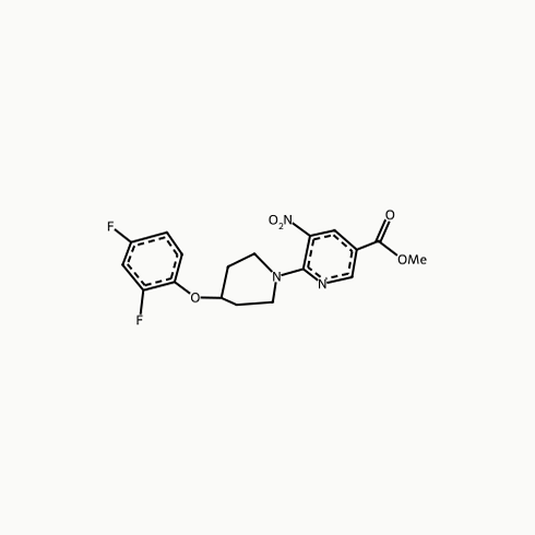 COC(=O)c1cnc(N2CCC(Oc3ccc(F)cc3F)CC2)c([N+](=O)[O-])c1